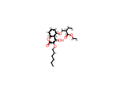 CCCCCCOc1c(O)c2c(OCC(CC)C(=O)OCC)cccc2oc1=O